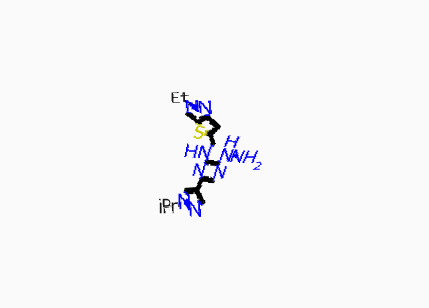 CCn1cc2sc(CNc3nc(-c4cnn(C(C)C)c4)cnc3NN)cc2n1